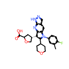 Cc1cc(-n2c(C3CCOCC3)c([C@@H]3COC(C(=O)O)C3)c3nc4[nH]ncc4cc32)ccc1F